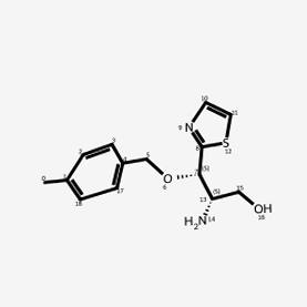 Cc1ccc(CO[C@H](c2nccs2)[C@@H](N)CO)cc1